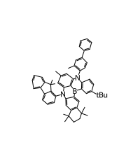 Cc1cc2c3c(c1)N(c1cccc4c1C(C)(C)c1ccccc1-4)c1cc4c(cc1B3c1cc(C(C)(C)C)ccc1N2c1ccc(-c2ccccc2)cc1C)C(C)(C)CCC4(C)C